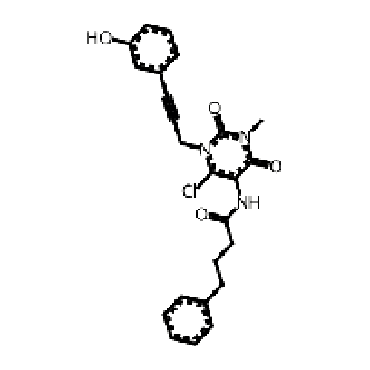 Cn1c(=O)c(NC(=O)CCCc2ccccc2)c(Cl)n(CC#Cc2cccc(O)c2)c1=O